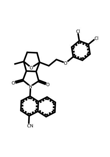 CC12CCC(CCOc3ccc(Cl)c(Cl)c3)(O1)C1C(=O)N(c3ccc(C#N)c4ccccc34)C(=O)C12